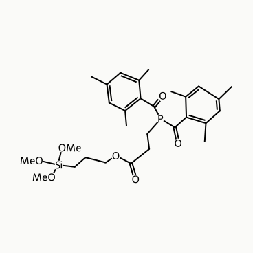 CO[Si](CCCOC(=O)CCP(C(=O)c1c(C)cc(C)cc1C)C(=O)c1c(C)cc(C)cc1C)(OC)OC